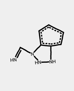 N=CN1NNc2ccccc21